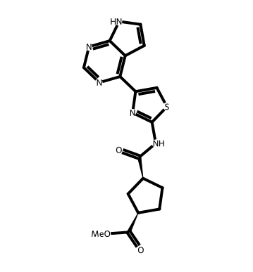 COC(=O)[C@@H]1CC[C@H](C(=O)Nc2nc(-c3ncnc4[nH]ccc34)cs2)C1